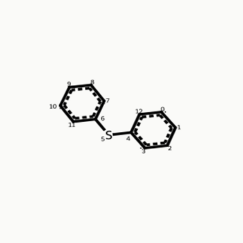 [c]1cc[c]c(Sc2[c]cc[c]c2)c1